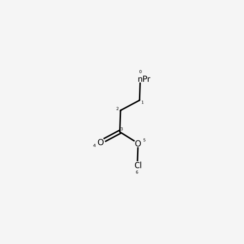 CCCCCC(=O)OCl